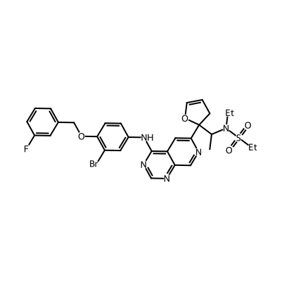 CCN(C(C)C1(c2cc3c(Nc4ccc(OCc5cccc(F)c5)c(Br)c4)ncnc3cn2)CC=CO1)S(=O)(=O)CC